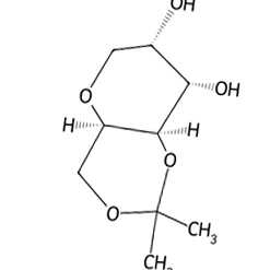 CC1(C)OC[C@H]2OC[C@H](O)[C@H](O)[C@H]2O1